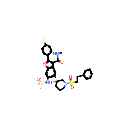 CNC(=O)c1c(-c2ccc(F)cc2)oc2cc(N[S@+](C)[O-])c([C@H]3CCCN(S(=O)(=O)CCc4ccccc4)C3)cc12